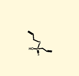 C=CCSP(O)(=S)CC=C